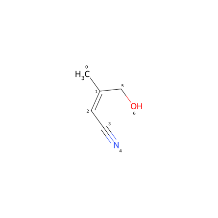 CC(=CC#N)CO